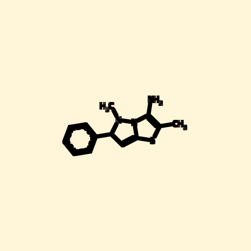 CC1=C(N)N2C(=CC(c3ccccc3)N2C)S1